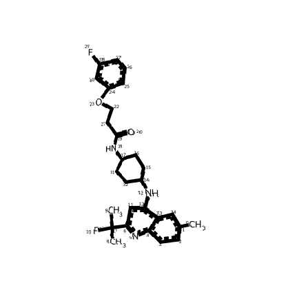 Cc1ccc2nc(C(C)(C)F)cc(NC3CCC(NC(=O)CCOc4cccc(F)c4)CC3)c2c1